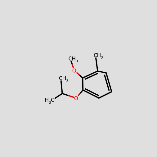 [CH2]c1cccc(OC(C)C)c1OC